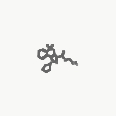 CCOC(=O)c1nn(C2CCCC2)c2c1CS(=O)(=O)c1ccccc1-2